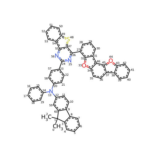 CC1(C)c2ccccc2-c2ccc(N(c3ccccc3)c3ccc(-c4nc(-c5cccc6c5oc5ccc7c8ccccc8oc7c56)c5sc6ccccc6c5n4)cc3)cc21